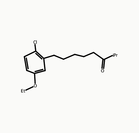 CCOc1ccc(Cl)c(CCCCCC(=O)C(C)C)c1